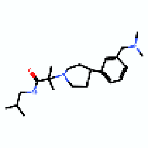 CC(C)CNC(=O)C(C)(C)N1CCC(c2cccc(CN(C)C)c2)CC1